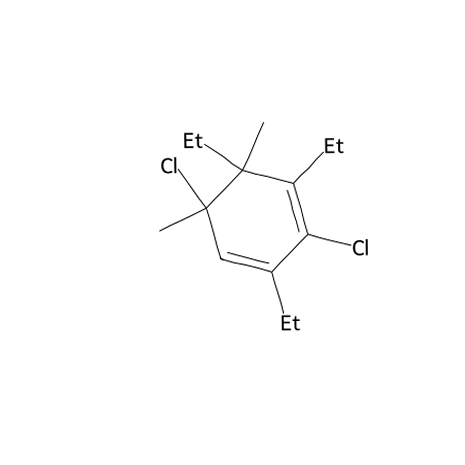 CCC1=CC(C)(Cl)C(C)(CC)C(CC)=C1Cl